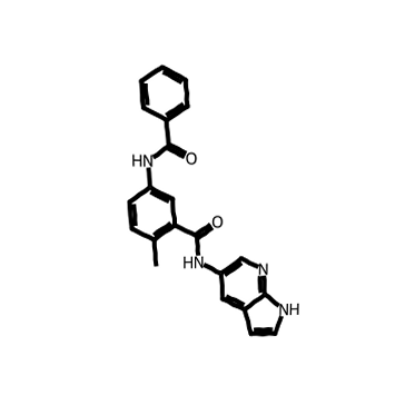 Cc1ccc(NC(=O)c2ccccc2)cc1C(=O)Nc1cnc2[nH]ccc2c1